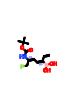 C=C/C(=C\C=C(/CF)NC(=O)OC(C)(C)C)B(O)O